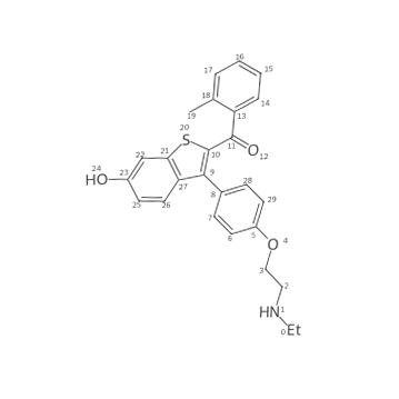 CCNCCOc1ccc(-c2c(C(=O)c3ccccc3C)sc3cc(O)ccc23)cc1